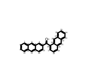 O=C(c1[c]c2cc3ccccc3cc2cc1)c1cccc2cc3ccccc3cc12